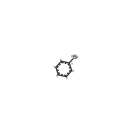 [Bi][c]1ccccc1